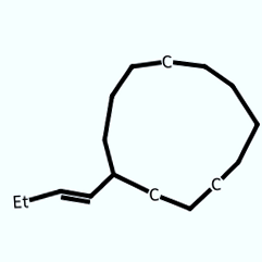 CCC=CC1CCCCCCCCCCC1